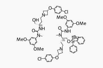 COc1cc(NC(=O)N(C)[C@@H](CCN2CC(Oc3ccc(Cl)cc3)C2)CO[Si](c2ccccc2)(c2ccccc2)C(C)(C)C)cc(OC)c1.COc1cc(OC)cc(N(C)C(=O)N[C@H](CO)CCN2CC(Oc3ccc(Cl)cc3)C2)c1